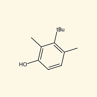 Cc1ccc(O)c(C)c1C(C)(C)C